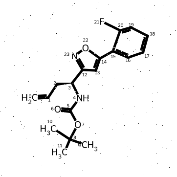 C=CC[C@H](NC(=O)OC(C)(C)C)c1cc(-c2ccccc2F)on1